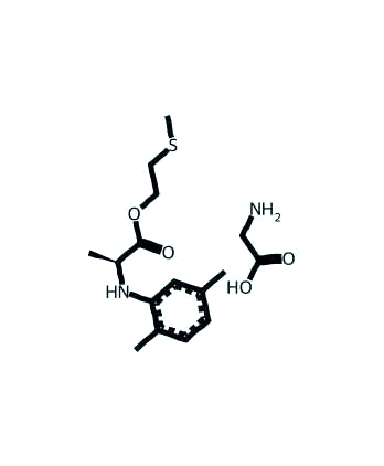 CSCCOC(=O)[C@H](C)Nc1cc(C)ccc1C.NCC(=O)O